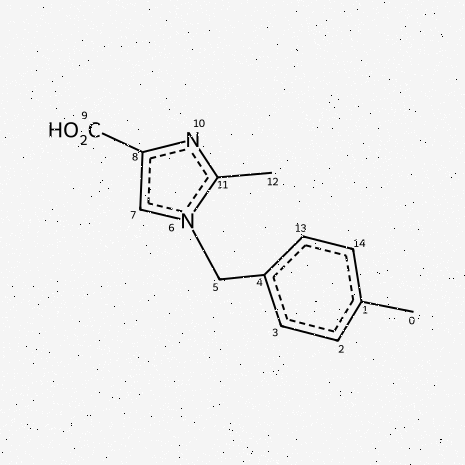 Cc1ccc(Cn2cc(C(=O)O)nc2C)cc1